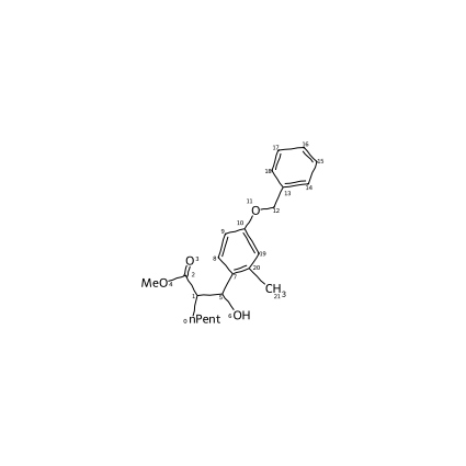 CCCCCC(C(=O)OC)C(O)c1ccc(OCc2ccccc2)cc1C